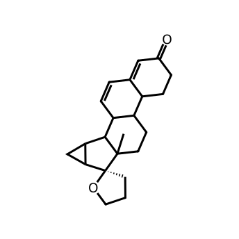 CC12CCC3C4CCC(=O)C=C4C=CC3C1C1CC1[C@@]21CCCO1